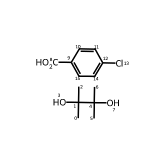 CC(C)(O)C(C)(C)O.O=C(O)c1ccc(Cl)cc1